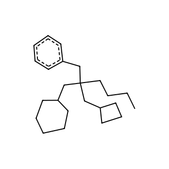 CCCCC(Cc1ccccc1)(CC1CCCCC1)CC1CCC1